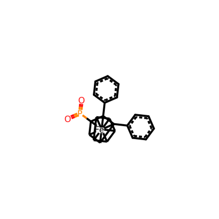 O=P(=O)[C]12[CH]3[CH]4[C]5(c6ccccc6)[C]1(c1ccccc1)[Fe]43521678[CH]2[CH]1[CH]6[CH]7[CH]28